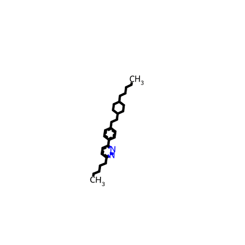 CCCCCc1ccc(-c2ccc(CCC3CCC(CCCCC)CC3)cc2)nn1